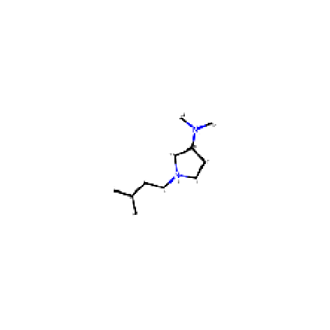 CC(C)CCN1CCC(N(C)C)C1